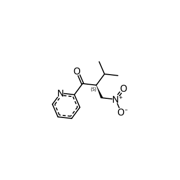 CC(C)[C@@H](C[N+](=O)[O-])C(=O)c1ccccn1